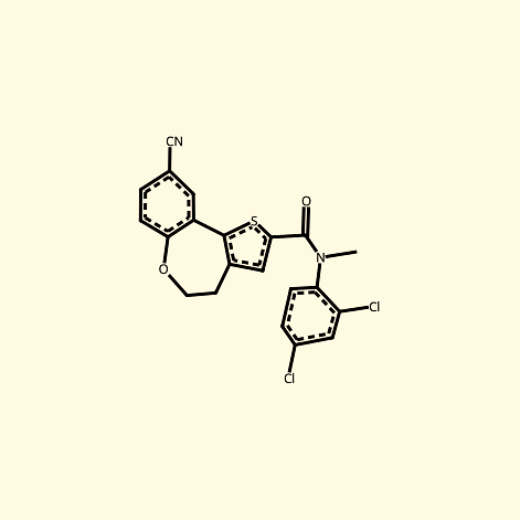 CN(C(=O)c1cc2c(s1)-c1cc(C#N)ccc1OCC2)c1ccc(Cl)cc1Cl